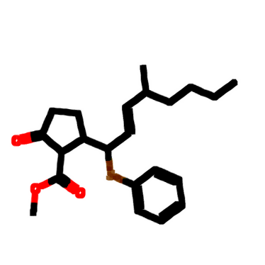 CCCCC(C)/C=C/C(Sc1ccccc1)C1CCC(=O)C1C(=O)OC